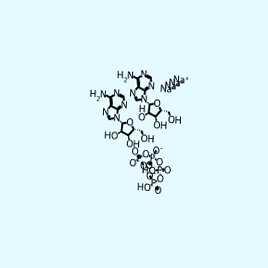 Nc1ncnc2c1ncn2[C@@H]1O[C@H](CO)[C@@H](O)[C@H]1O.Nc1ncnc2c1ncn2[C@@H]1O[C@H](CO)[C@@H](O)[C@H]1O.O=P([O-])([O-])OP(=O)([O-])OP(=O)(O)OP(=O)([O-])O.[Na+].[Na+].[Na+].[Na+]